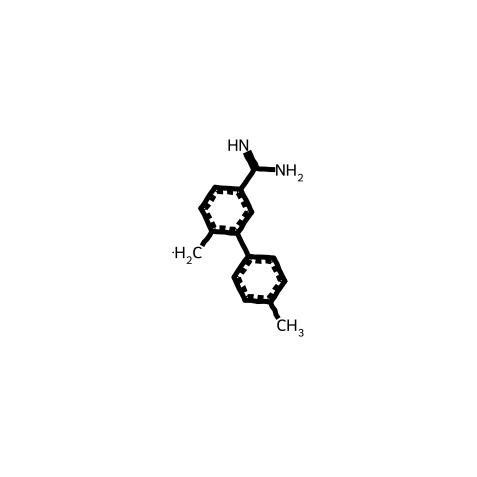 [CH2]c1ccc(C(=N)N)cc1-c1ccc(C)cc1